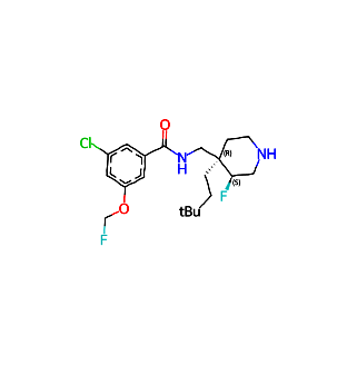 CC(C)(C)CC[C@]1(CNC(=O)c2cc(Cl)cc(OCF)c2)CCNC[C@H]1F